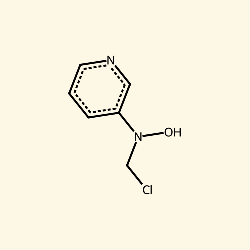 ON(CCl)c1cccnc1